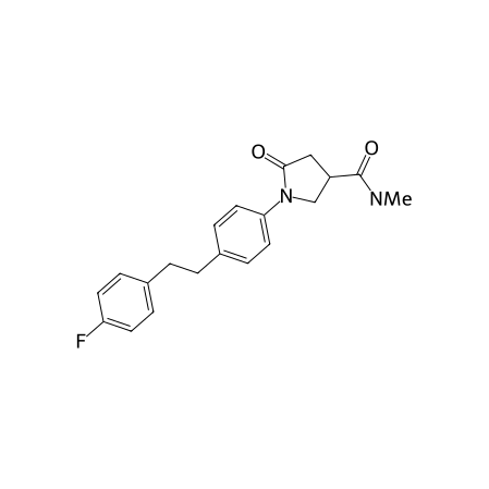 CNC(=O)C1CC(=O)N(c2ccc(CCc3ccc(F)cc3)cc2)C1